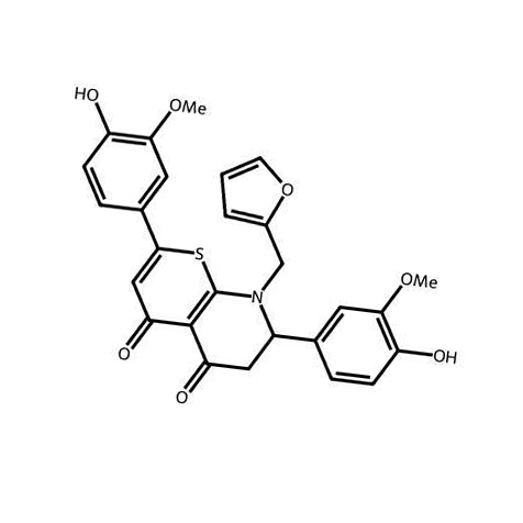 COc1cc(-c2cc(=O)c3c(s2)N(Cc2ccco2)C(c2ccc(O)c(OC)c2)CC3=O)ccc1O